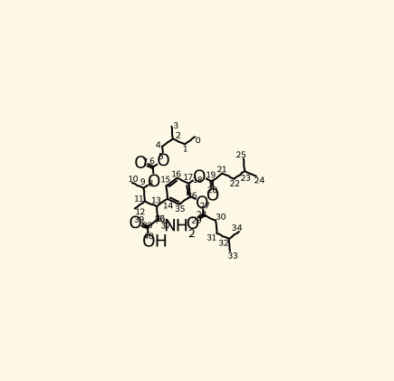 CCC(C)COC(=O)OC(C)C(C)C(c1ccc(OC(=O)CCC(C)C)c(OC(=O)CCC(C)C)c1)[C@H](N)C(=O)O